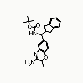 CC1Oc2ccc(C(NC(=O)OC(C)(C)C)C3Cc4ccccc4C3)cc2N=C1N